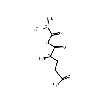 CC[C@@H](C)[C@@H](N)C(=O)OC(=O)[C@H](N)CCC(N)=O